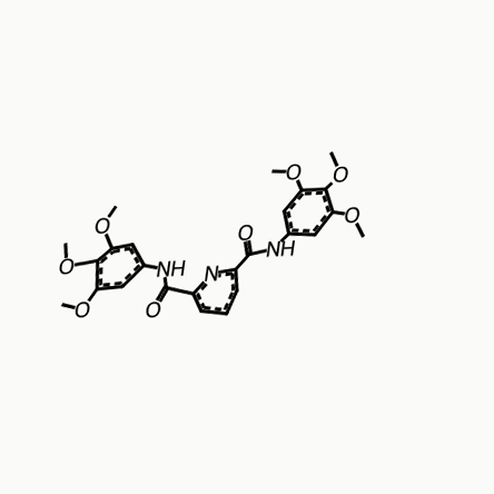 COc1cc(NC(=O)c2cccc(C(=O)Nc3cc(OC)c(OC)c(OC)c3)n2)cc(OC)c1OC